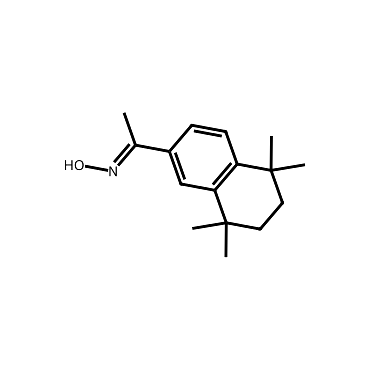 CC(=NO)c1ccc2c(c1)C(C)(C)CCC2(C)C